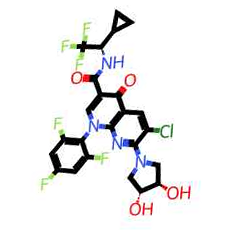 O=C(N[C@@H](C1CC1)C(F)(F)F)c1cn(-c2c(F)cc(F)cc2F)c2nc(N3C[C@@H](O)[C@H](O)C3)c(Cl)cc2c1=O